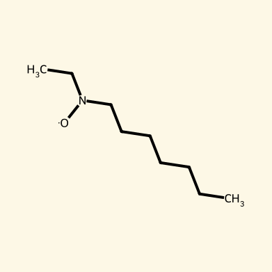 CCCCCCCN([O])CC